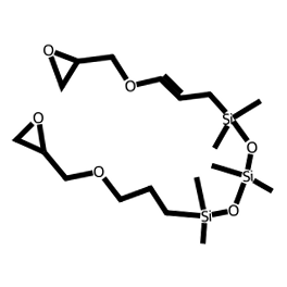 C[Si](C)(C/C=C/OCC1CO1)O[Si](C)(C)O[Si](C)(C)CCCOCC1CO1